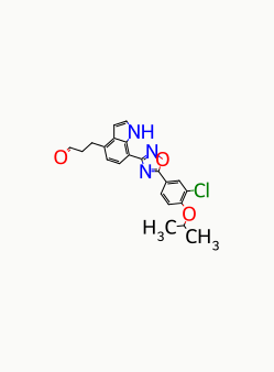 CC(C)Oc1ccc(-c2nc(-c3ccc(CCC=O)c4cc[nH]c34)no2)cc1Cl